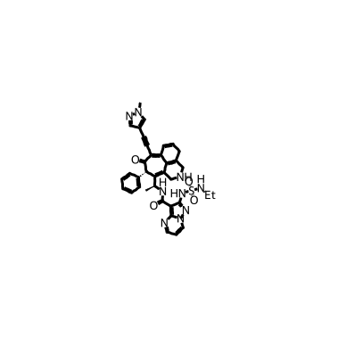 CCNS(=O)(=O)Nc1nn2cccnc2c1C(=O)N[C@@H](C)C1=C2CNCC3=C2C(=C(C#Cc2cnn(C)c2)C(=O)[C@H]1c1ccccc1)C=CC3